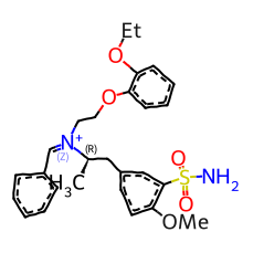 CCOc1ccccc1OCC/[N+](=C/c1ccccc1)[C@H](C)Cc1ccc(OC)c(S(N)(=O)=O)c1